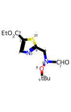 CCOC(=O)c1cnc(CN(C=O)OC(C)(C)C)s1